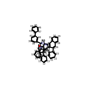 CC1C/C=C(c2ccc3oc4ccccc4c3c2-n2c3ccccc3c3cc4ccccc4cc32)/N=C(c2cccc(-c3ccccc3)c2)\N=C/1c1ccccc1